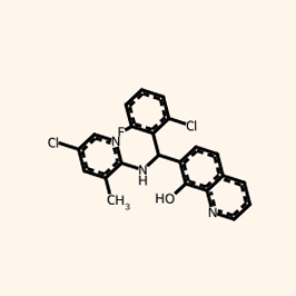 Cc1cc(Cl)cnc1NC(c1ccc2cccnc2c1O)c1c(F)cccc1Cl